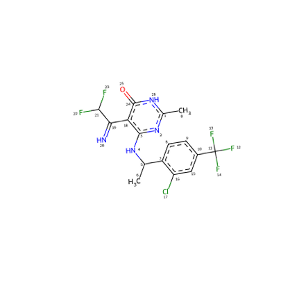 Cc1nc(NC(C)c2ccc(C(F)(F)F)cc2Cl)c(C(=N)C(F)F)c(=O)[nH]1